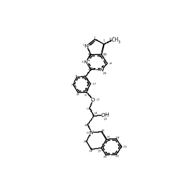 CC1C=Nc2nc(-c3cccc(OCC(O)CN4CCc5ccccc5C4)c3)ncc21